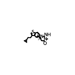 CN1C(=N)N[C@](C)(c2ccc3scc(CCC4CC4)c3c2)CC1=O